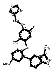 COc1ccc(Oc2cc(F)c(SNc3cscn3)cc2Cl)c(-c2ccc3onc(N)c3c2)c1